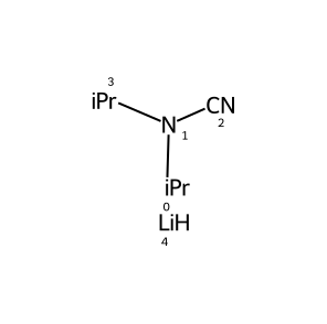 CC(C)N(C#N)C(C)C.[LiH]